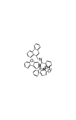 C=N/C(=N\C(=N/Cc1cc2ccccc2c2ccccc12)c1cccc2oc3cccc(-c4ccc5oc6ccccc6c5c4)c3c12)c1ccccc1